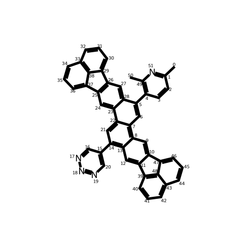 Cc1ccc(-c2cc3c4cc5c(cc4c(-c4cnnnc4)cc3c3cc4c(cc23)-c2cccc3cccc-4c23)-c2cccc3cccc-5c23)c(C)n1